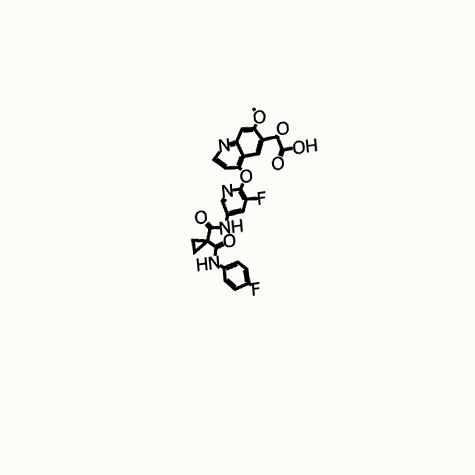 COc1cc2nccc(Oc3ncc(NC(=O)C4(C(=O)Nc5ccc(F)cc5)CC4)cc3F)c2cc1C(=O)C(=O)O